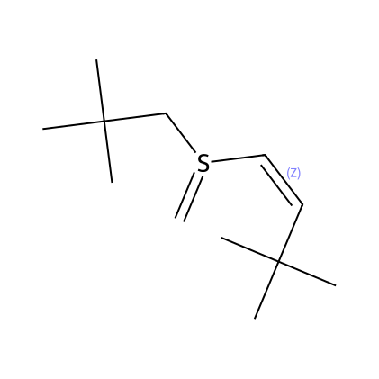 C=S(/C=C\C(C)(C)C)CC(C)(C)C